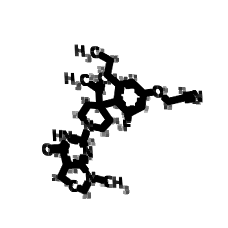 C=C(C)C1(c2c(F)cc(OCC#N)cc2CCC)CCN(c2nc3c(c(=O)[nH]2)CCCN3C)CC1